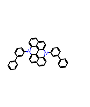 c1ccc(-c2cccc(-n3c4ccc5cccc6c5c4-c4c5c(cccc53)ccc4n6-c3cccc(-c4ccccc4)c3)c2)cc1